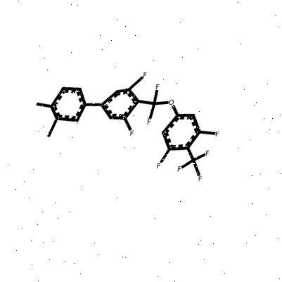 Cc1ccc(-c2cc(F)c(C(F)(F)Oc3cc(F)c(C(F)(F)F)c(F)c3)c(F)c2)cc1C